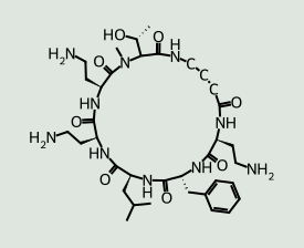 CC(C)C[C@@H]1NC(=O)[C@@H](Cc2ccccc2)NC(=O)[C@H](CCN)NC(=O)CCCNC(=O)C([C@@H](C)O)N(C)C(=O)[C@H](CCN)NC(=O)[C@H](CCN)NC1=O